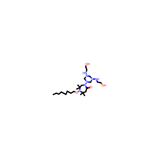 CCCCCCCCON1C(C)(C)CC(=O)N(N2CN(NCCO)CN(NCCO)C2)CC1(C)C